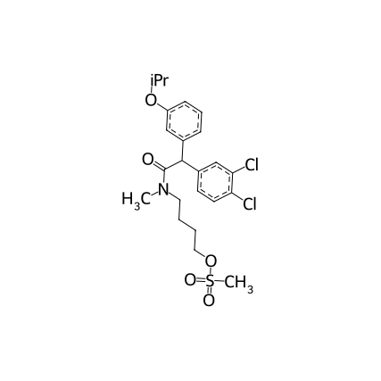 CC(C)Oc1cccc(C(C(=O)N(C)CCCCOS(C)(=O)=O)c2ccc(Cl)c(Cl)c2)c1